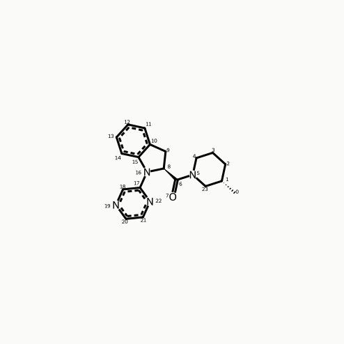 C[C@H]1CCCN(C(=O)[C@@H]2Cc3ccccc3N2c2cnccn2)C1